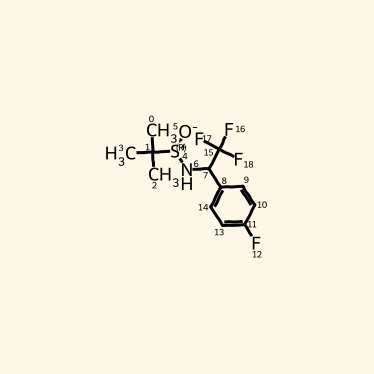 CC(C)(C)[S@+]([O-])NC(c1ccc(F)cc1)C(F)(F)F